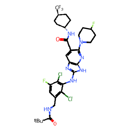 CC(C)(C)C(=O)NCc1cc(F)c(Cl)c(Nc2nc3cc(C(=O)N[C@H]4CC[C@H](C(F)(F)F)CC4)c(N4CCC(F)CC4)nc3[nH]2)c1Cl